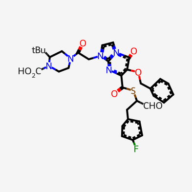 CC(C)(C)C1CN(C(=O)Cn2ccn3c(=O)c(OCc4ccccc4)c(C(=O)SC(C=O)Cc4ccc(F)cc4)nc23)CCN1C(=O)O